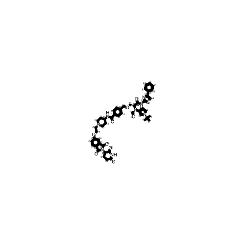 CC(C)(C)n1ccc(N(C=O)[C@@H](COCc2ccc(C(=O)NC3CCN(CCOc4ccc5c(c4)C(=O)N(C4CCC(=O)NC4=O)C5=O)CC3)cc2)C(=O)Nc2nc(-c3ccccc3)cs2)c1